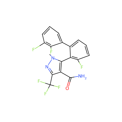 Cn1nc(C(F)(F)F)c(C(N)=O)c1-c1c(F)cccc1-c1cccc(F)c1F